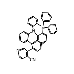 N#Cc1ccncc1-c1ccccc1-c1ccccc1N1c2ccccc2[Si](c2ccccc2)(c2ccccc2)c2ccccc21